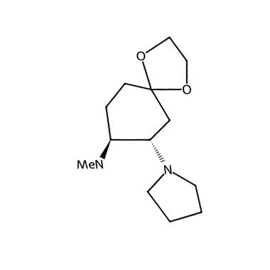 CN[C@H]1CCC2(C[C@@H]1N1CCCC1)OCCO2